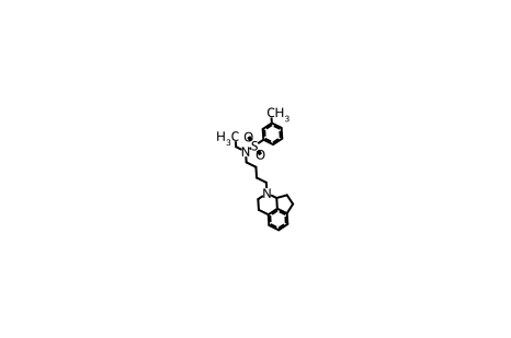 CCN(CCCCN1CCc2cccc3c2C1CC3)S(=O)(=O)c1cccc(C)c1